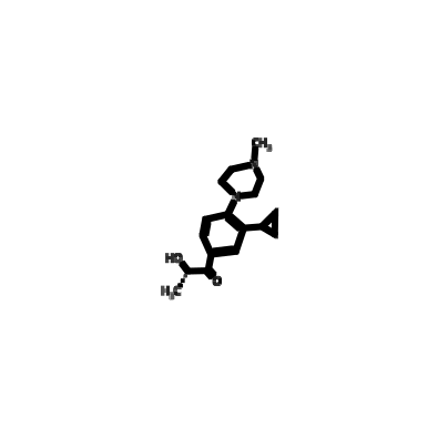 C[C@H](O)C(=O)c1ccc(N2CCN(C)CC2)c(C2CC2)c1